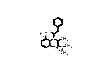 Cc1cccc(C)c1N(C(=O)Cc1ccccc1)C(C)CN(C)C